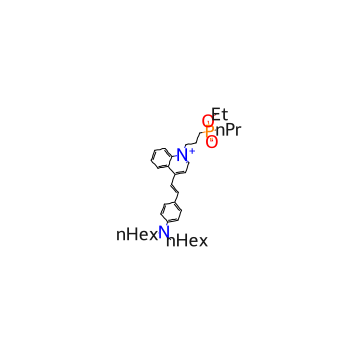 CCCCCCN(CCCCCC)c1ccc(C=Cc2cc[n+](CCCP(=O)(CCC)OCC)c3ccccc23)cc1